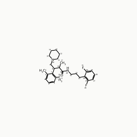 Cc1cccc(C)c1C(CN1CCCCC1)C(C)C(=O)NCCCc1c(F)cccc1F